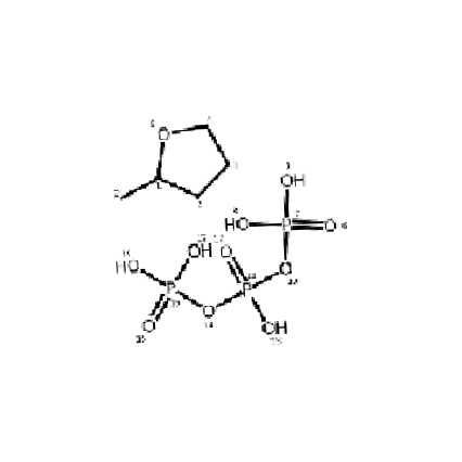 CC1CCCO1.O=P(O)(O)OP(=O)(O)OP(=O)(O)O